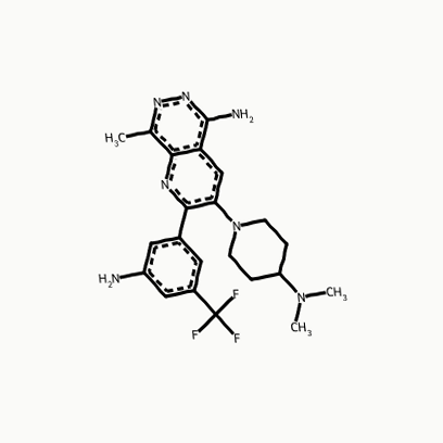 Cc1nnc(N)c2cc(N3CCC(N(C)C)CC3)c(-c3cc(N)cc(C(F)(F)F)c3)nc12